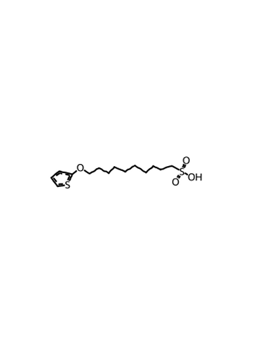 O=S(=O)(O)CCCCCCCCCCOc1cccs1